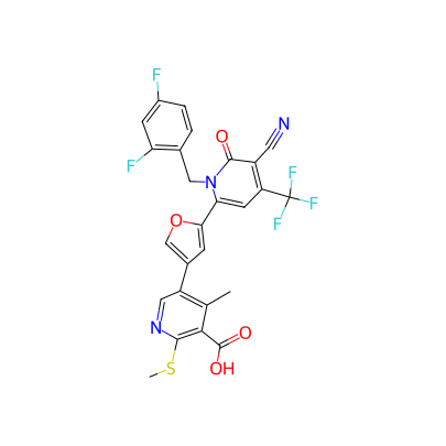 CSc1ncc(-c2coc(-c3cc(C(F)(F)F)c(C#N)c(=O)n3Cc3ccc(F)cc3F)c2)c(C)c1C(=O)O